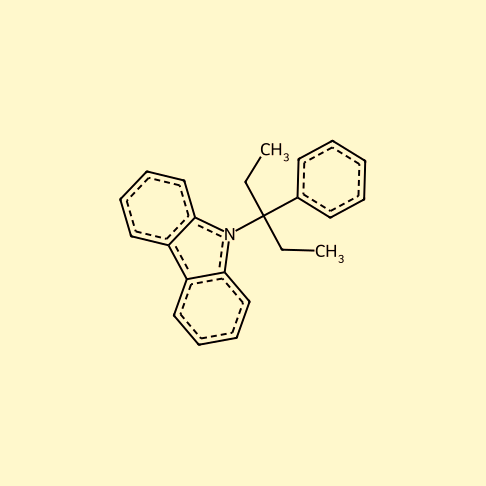 CCC(CC)(c1ccccc1)n1c2ccccc2c2ccccc21